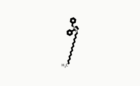 CCCCCCCCCCCCCCCCN1C=CN(Cc2ccccc2)C1c1ccccc1